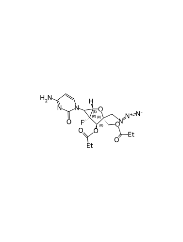 CCC(=O)OC[C@@]1(CN=[N+]=[N-])O[C@H]2C(n3ccc(N)nc3=O)[C@]2(F)[C@@H]1OC(=O)CC